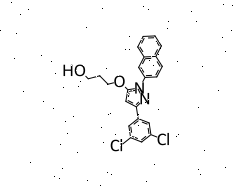 OCCCOc1cc(-c2cc(Cl)cc(Cl)c2)nn1-c1ccc2ccccc2c1